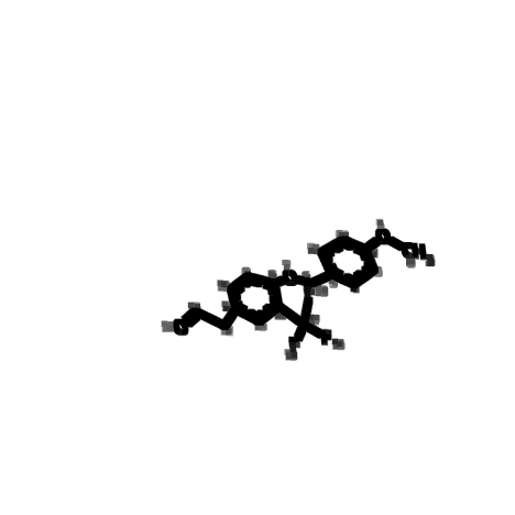 COc1ccc(COc2ccc(CC=O)cc2C(F)(F)F)cc1